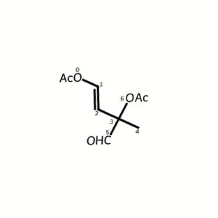 CC(=O)O/C=C/C(C)(C=O)OC(C)=O